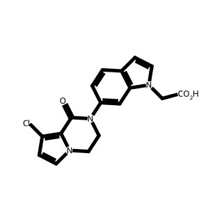 O=C(O)Cn1ccc2ccc(N3CCn4ccc(Cl)c4C3=O)cc21